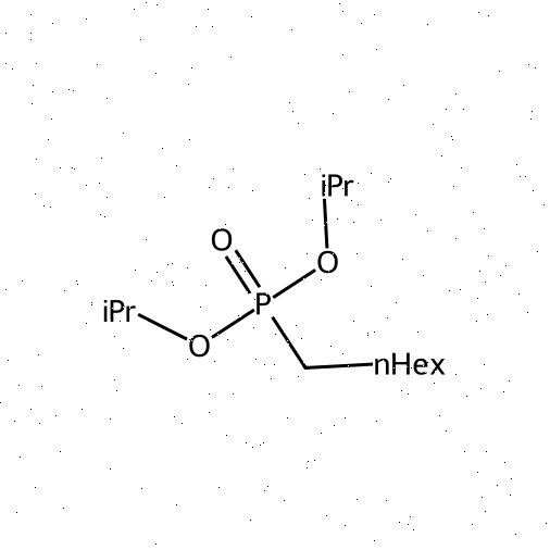 CCCCCCCP(=O)(OC(C)C)OC(C)C